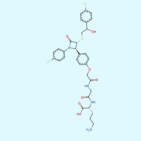 NCCC[C@@H](NC(=O)CNC(=O)COc1ccc([C@@H]2[C@@H](SCC(O)c3ccc(F)cc3)C(=O)N2c2ccc(F)cc2)cc1)C(=O)O